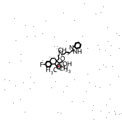 CO[C@H](C(=O)O)C1(CCN(C)CCCc2nc3ccccc3[nH]2)CCc2cc(F)ccc2C1C(C)C